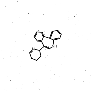 C1=NC(C2=CNc3ccccc3-c3ccccc32)CCC1